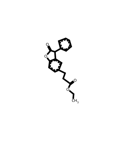 CCOC(=O)CCc1ccc2c(c1)C(c1ccccc1)C(=O)O2